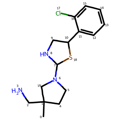 CC1(CN)CCN(C2NCC(c3ccccc3Cl)S2)C1